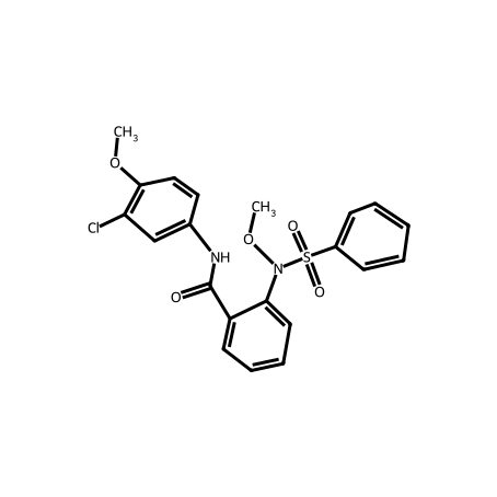 COc1ccc(NC(=O)c2ccccc2N(OC)S(=O)(=O)c2ccccc2)cc1Cl